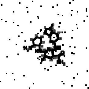 Cn1ccc2cc(Nc3nc(N[C@@H]4CCCC[C@@H]4N)c(F)cc3C(N)=O)ccc21